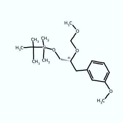 COCO[C@@H](CO[Si](C)(C)C(C)(C)C)Cc1cccc(OC)c1